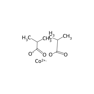 CC(C)C(=O)[O-].CC(C)C(=O)[O-].[Co+2]